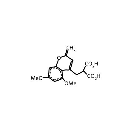 C=C1C=C(CC(C(=O)O)C(=O)O)c2c(OC)cc(OC)cc2O1